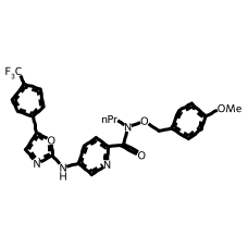 CCCN(OCc1ccc(OC)cc1)C(=O)c1ccc(Nc2ncc(-c3ccc(C(F)(F)F)cc3)o2)cn1